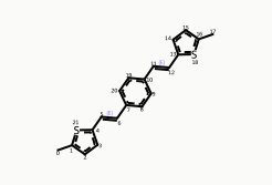 Cc1ccc(/C=C/c2ccc(/C=C/c3ccc(C)s3)cc2)s1